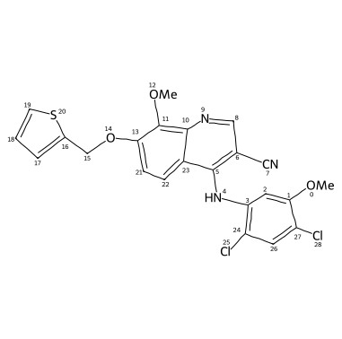 COc1cc(Nc2c(C#N)cnc3c(OC)c(OCc4cccs4)ccc23)c(Cl)cc1Cl